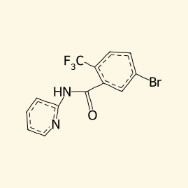 O=C(Nc1ccccn1)c1cc(Br)ccc1C(F)(F)F